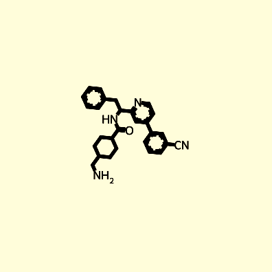 N#Cc1cccc(-c2ccnc(C(Cc3ccccc3)NC(=O)C3CCC(CN)CC3)c2)c1